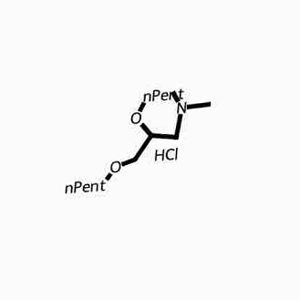 CCCCCOCC(CN(C)C)OCCCCC.Cl